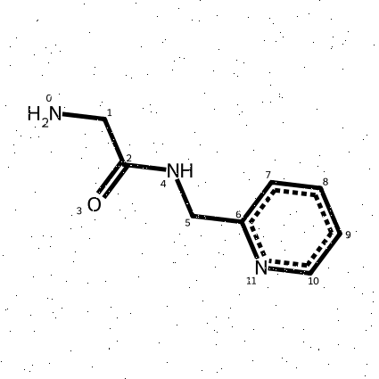 NCC(=O)NCc1ccccn1